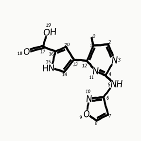 Cc1cnc(Nc2ccon2)nc1-c1c[nH]c(C(=O)O)c1